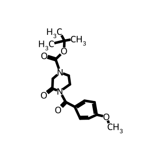 COc1ccc(C(=O)N2CCN(C(=O)OC(C)(C)C)CC2=O)cc1